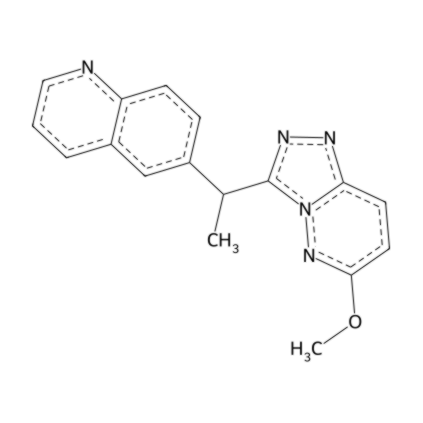 COc1ccc2nnc(C(C)c3ccc4ncccc4c3)n2n1